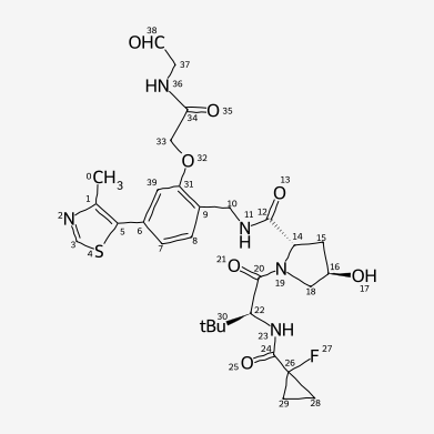 Cc1ncsc1-c1ccc(CNC(=O)[C@@H]2C[C@@H](O)CN2C(=O)[C@@H](NC(=O)C2(F)CC2)C(C)(C)C)c(OCC(=O)NCC=O)c1